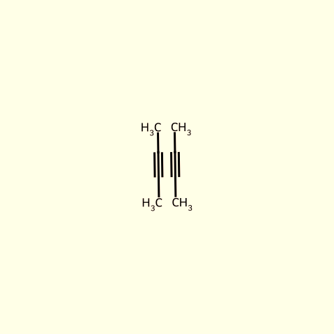 CC#CC.CC#CC